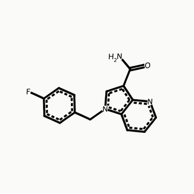 NC(=O)c1cn(Cc2ccc(F)cc2)c2cccnc12